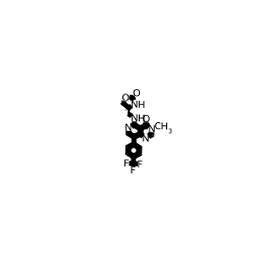 Cn1cnc2c(-c3ccc(C(F)(F)F)cc3)cnc(NC[C@H]3COC(=O)N3)c2c1=O